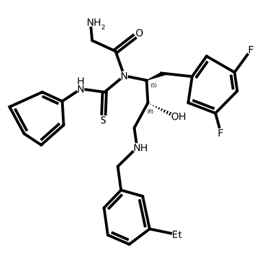 CCc1cccc(CNC[C@@H](O)[C@H](Cc2cc(F)cc(F)c2)N(C(=O)CN)C(=S)Nc2ccccc2)c1